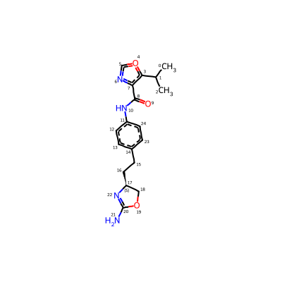 CC(C)c1ocnc1C(=O)Nc1ccc(CC[C@H]2COC(N)=N2)cc1